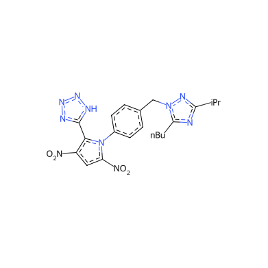 CCCCc1nc(C(C)C)nn1Cc1ccc(-n2c([N+](=O)[O-])cc([N+](=O)[O-])c2-c2nnn[nH]2)cc1